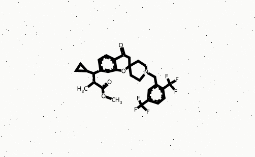 COC(=O)C(C)C(c1ccc2c(c1)OC1(CCN(Cc3cc(C(F)(F)F)ccc3C(F)(F)F)CC1)CC2=O)C1CC1